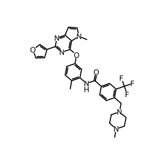 Cc1ccc(Oc2nc(-c3ccoc3)nc3ccn(C)c23)cc1NC(=O)c1ccc(CN2CCN(C)CC2)c(C(F)(F)F)c1